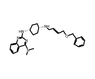 CN(C)c1nc(N[C@H]2CC[C@@H](NC/C=C/COCc3ccccc3)CC2)nc2ccccc12